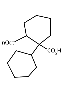 CCCCCCCCC1CCCCC1(C(=O)O)C1CCCCC1